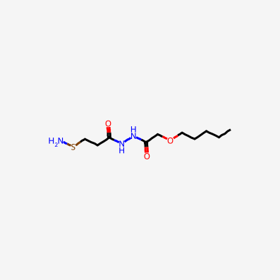 CCCCCOCC(=O)NNC(=O)CCSN